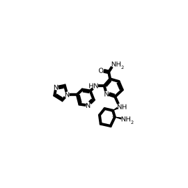 NC(=O)c1ccc(N[C@@H]2CCCC[C@@H]2N)nc1Nc1cncc(-n2ccnc2)c1